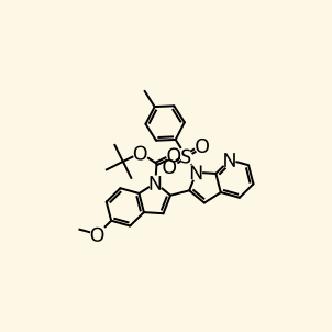 COc1ccc2c(c1)cc(-c1cc3cccnc3n1S(=O)(=O)c1ccc(C)cc1)n2C(=O)OC(C)(C)C